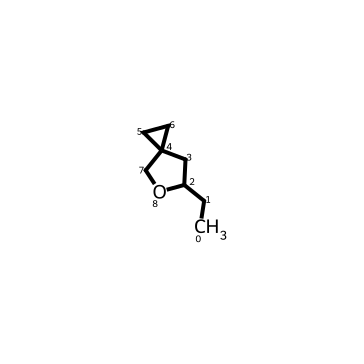 CCC1CC2(CC2)CO1